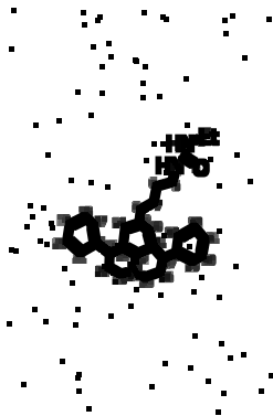 CCNC(=O)NCCCCc1cc2c3c(c1)C(c1ccccc1)CCN3CCC2c1ccccc1